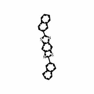 c1ccc2cc(-c3nc4cc5sc(-c6ccc7ccccc7c6)nc5cc4s3)ccc2c1